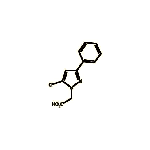 O=C(O)Cn1nc(-c2ccccc2)cc1Cl